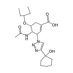 CCC(CC)OC1CC(C(=O)O)=CC(n2cc(C3(O)CCCCC3)nn2)C1NC(C)=O